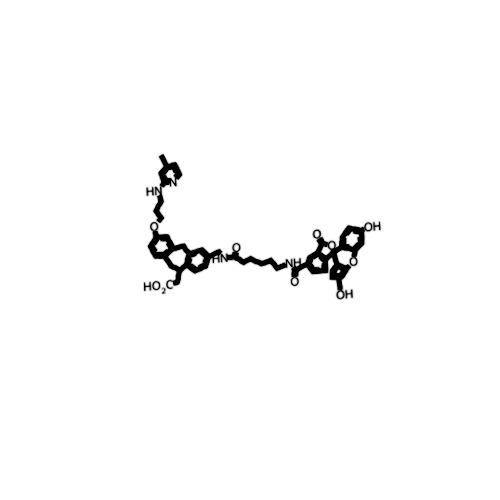 Cc1ccnc(NCCCOc2ccc3c(c2)Cc2cc(CNC(=O)CCCCCNC(=O)c4ccc5c(c4)C(=O)OC54c5ccc(O)cc5Oc5cc(O)ccc54)ccc2C(CC(=O)O)C3)c1